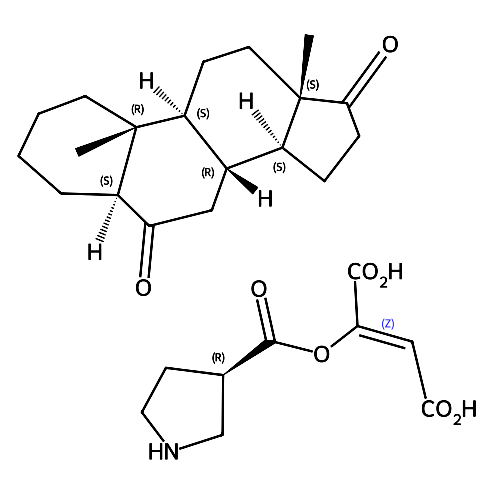 C[C@]12CCCC[C@@H]1C(=O)C[C@@H]1[C@@H]2CC[C@]2(C)C(=O)CC[C@@H]12.O=C(O)/C=C(\OC(=O)[C@@H]1CCNC1)C(=O)O